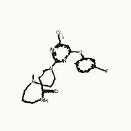 CN1CCCNC(=O)C12CCN(c1nc(Oc3cccc(F)c3)cc(C(F)(F)F)n1)CC2